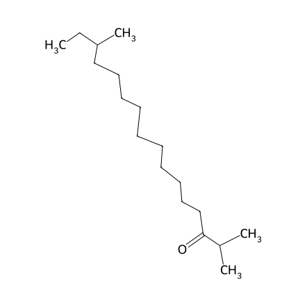 CCC(C)CCCCCCCCCCC(=O)C(C)C